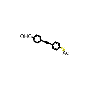 CC(=O)Sc1ccc(C#Cc2ccc(C=O)cc2)cc1